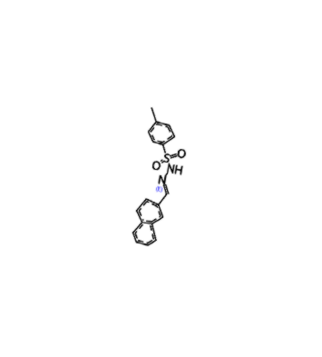 Cc1ccc(S(=O)(=O)N/N=C/c2ccc3ccccc3c2)cc1